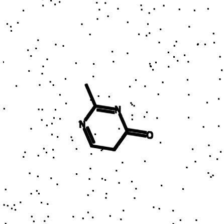 CC1=NC(=O)CC=N1